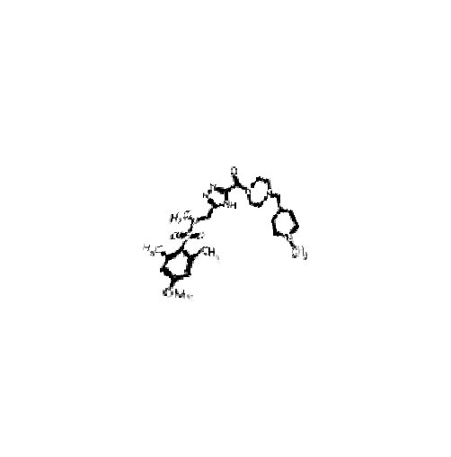 COc1cc(C)c(S(=O)(=O)N(C)Cc2nnc(C(=O)N3CCN(CC4CCN(C)CC4)CC3)[nH]2)c(C)c1